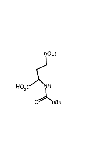 CCCCCCCCCCC(NC(=O)CCCC)C(=O)O